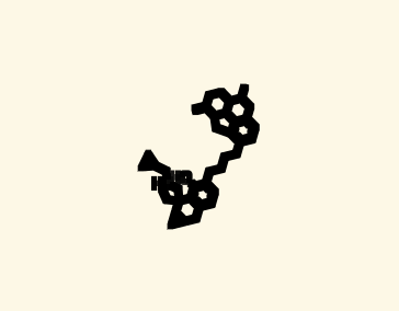 C=C1CCC2C(C)Cc3ccc(CCCCc4ccc5c(c4O)C(CC)(CNCC4CC4)C4CC4C5)c4c3C2C1C4